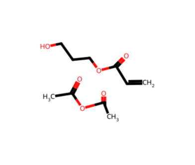 C=CC(=O)OCCCO.CC(=O)OC(C)=O